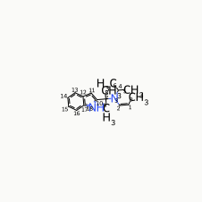 C/C=C\N(C(C)C)C(C)(C)c1cc2ccccc2[nH]1